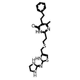 Cc1nc(CCSCC2=CSC(N=C3NCCN3)N2)[nH]c(=O)c1CCc1ccccc1